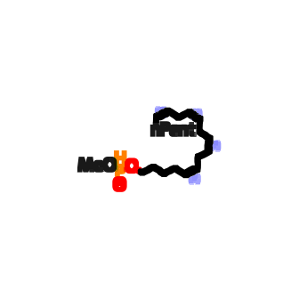 CCCCC/C=C\C/C=C\C/C=C\C/C=C\CCCCO[PH](=O)OC